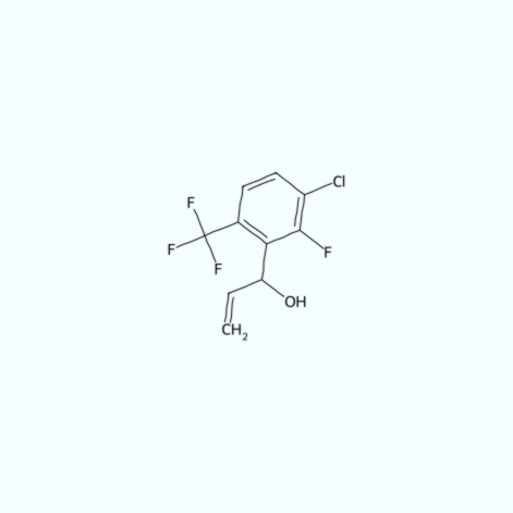 C=CC(O)c1c(C(F)(F)F)ccc(Cl)c1F